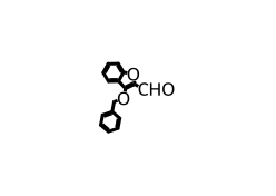 O=Cc1oc2ccccc2c1OCc1ccccc1